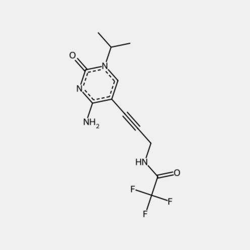 CC(C)n1cc(C#CCNC(=O)C(F)(F)F)c(N)nc1=O